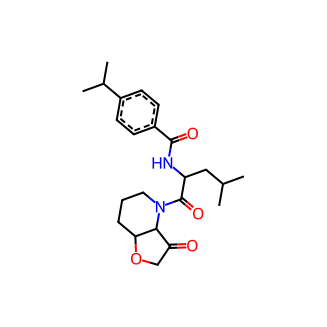 CC(C)CC(NC(=O)c1ccc(C(C)C)cc1)C(=O)N1CCCC2OCC(=O)C21